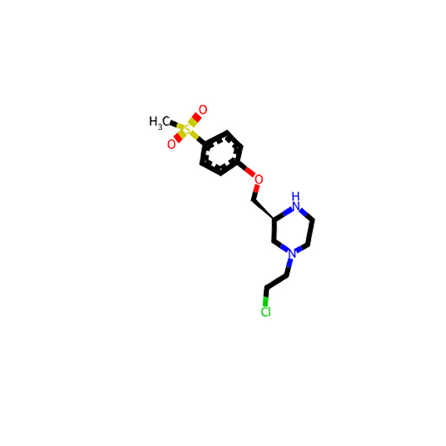 CS(=O)(=O)c1ccc(OC[C@@H]2CN(CCCl)CCN2)cc1